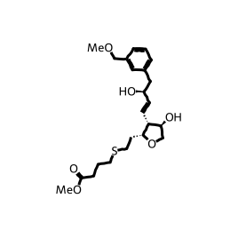 COCc1cccc(C[C@H](O)C=C[C@@H]2[C@@H](O)CO[C@@H]2CCSCCCC(=O)OC)c1